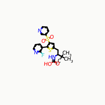 CC(C)(C)C(Cc1cc(S(=O)(=O)c2cccnc2)c(-c2cccnc2F)s1)NC(=O)O